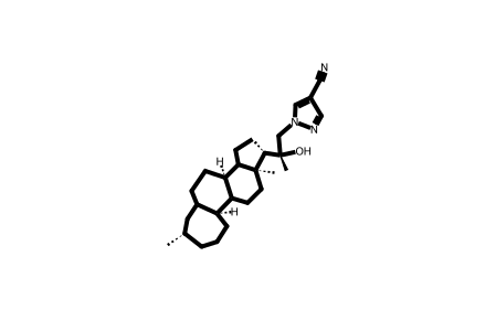 C[C@H]1CCC[C@H]2C(CC[C@@H]3C2CC[C@@]2(C)C3CC[C@@H]2[C@@](C)(O)Cn2cc(C#N)cn2)C1